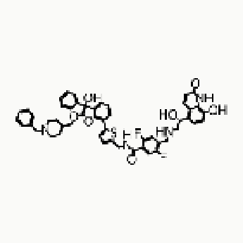 O=C(NCc1ccc(-c2cccc(C(O)(C(=O)OCC3CCN(Cc4ccccc4)CC3)c3ccccc3)c2)s1)c1cc(F)c(CNCC(O)c2ccc(O)c3[nH]c(=O)ccc23)cc1F